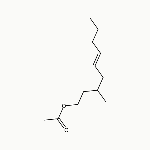 CCCC=CCC(C)CCOC(C)=O